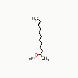 C/C=C/CCCCCCCC(C)OCCC